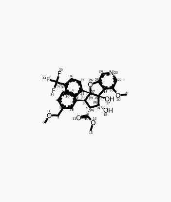 COCc1cccc([C@@H]2[C@@H](C(=O)OC)[C@@H](O)[C@@]3(O)c4c(OC)cncc4O[C@@]23c2ccc(C(F)(F)F)cc2)c1